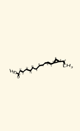 CCC1CC1/C=C/CCCCCCCCC(=O)O